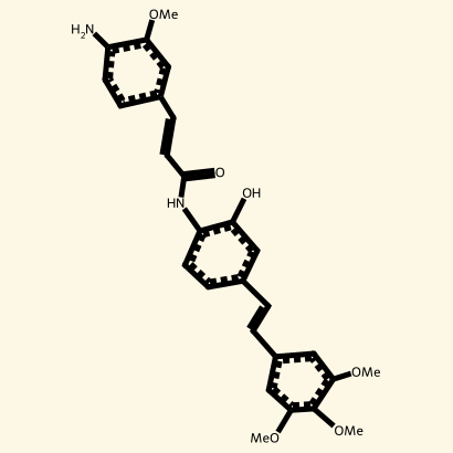 COc1cc(/C=C/C(=O)Nc2ccc(/C=C/c3cc(OC)c(OC)c(OC)c3)cc2O)ccc1N